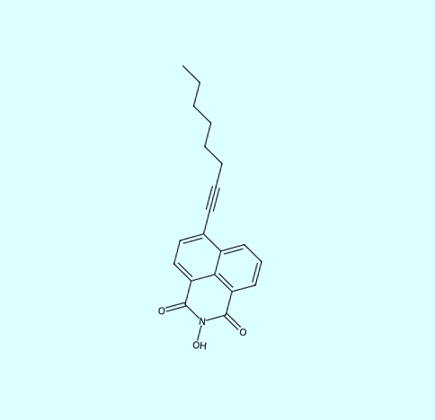 CCCCCCC#Cc1ccc2c3c(cccc13)C(=O)N(O)C2=O